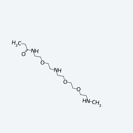 CCC(=O)NCCOCCNCCOCCOCCNC